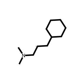 CN(C)C[CH]CC1CCCCC1